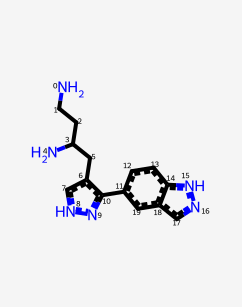 NCCC(N)Cc1c[nH]nc1-c1ccc2[nH]ncc2c1